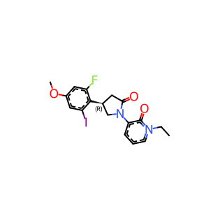 CCn1cccc(N2C[C@@H](c3c(F)cc(OC)cc3I)CC2=O)c1=O